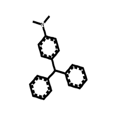 CN(C)c1ccc([C](c2ccccc2)c2ccccc2)cc1